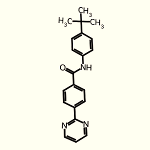 CC(C)(C)c1ccc(NC(=O)c2ccc(-c3ncccn3)cc2)cc1